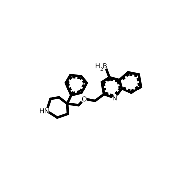 Bc1cc(COCC2(c3ccccc3)CCNCC2)nc2ccccc12